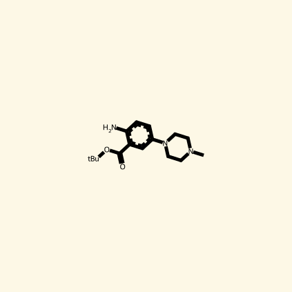 CN1CCN(c2ccc(N)c(C(=O)OC(C)(C)C)c2)CC1